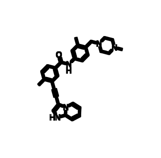 Cc1ccc(C(=O)Nc2ccc(CN3CCN(C)CC3)c(C)c2)cc1C#CC1=CNC2C=CC=CN12